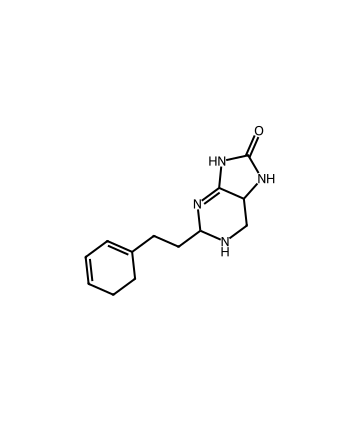 O=C1NC2=NC(CCC3=CC=CCC3)NCC2N1